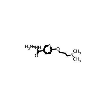 CN(C)CCCOc1ccc(C(=O)NN)cn1